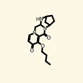 CCCCOc1c2n(ccc1=O)CC1NC3CCC(C3)N1C2=O